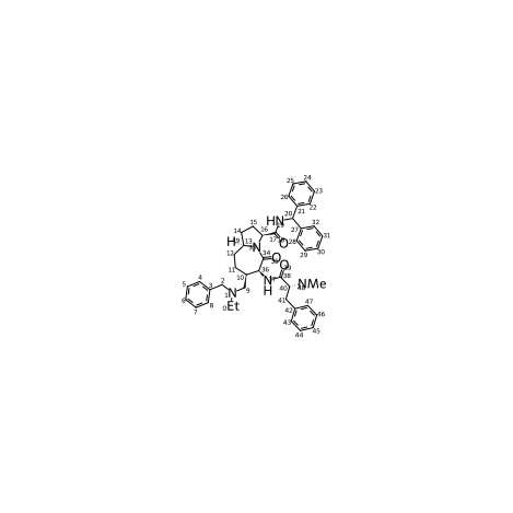 CCN(Cc1ccccc1)C[C@H]1CC[C@H]2CC[C@@H](C(=O)NC(c3ccccc3)c3ccccc3)N2C(=O)[C@H]1NC(=O)[C@@H](Cc1ccccc1)NC